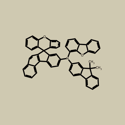 CC1(C)c2ccccc2-c2ccc(N(c3ccc4c(c3)C3(c5ccccc5Oc5ccccc53)c3ccc5ccccc5c3-4)c3cccc4c3oc3ccccc34)cc21